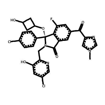 Cn1cnc(C(=O)c2cc(F)c3c(c2)C(=O)N(Cc2ncc(Cl)cc2O)[C@@]3(OC2CC(O)C2)c2ccc(Cl)cc2)c1